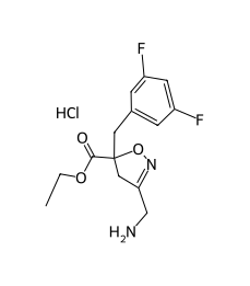 CCOC(=O)C1(Cc2cc(F)cc(F)c2)CC(CN)=NO1.Cl